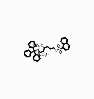 O=C(O)[C@@H](CCCOS(=O)(=O)c1cccc2cccnc12)C[C@@H](NC(c1ccccc1)(c1ccccc1)c1ccccc1)C(=O)O